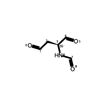 O=[C]C[C@@H]([C]=O)NC=O